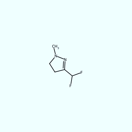 CN1CCC(C(F)F)=N1